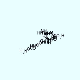 N=C(N)NCCC[C@@H]1NC(=O)C(CCCCNC(=O)COCCOCCNC(=O)COCCOCCN)NC(=O)[C@H](Cc2ccccc2)NC(=O)[C@@H](CC(=O)O)NC(=O)CNC1=O